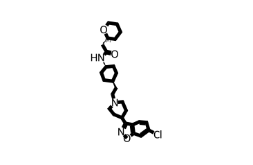 O=C(C[C@H]1CCCCO1)N[C@H]1CC[C@H](CCN2CCC(c3noc4cc(Cl)ccc34)CC2)CC1